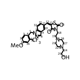 COc1ccc(Cn2ncc3cc(C=C4SC(=O)N(CCN5CCN(CCO)CC5)C4=O)ccc32)c(C(F)(F)F)c1